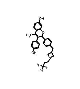 [2H]C([2H])([2H])CCN1CC(Cc2ccc(C3Oc4cc(O)ccc4C(C)=C3c3ccc(O)cc3)cc2)C1